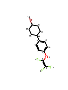 FC(F)=C(F)Oc1ccc(C2CCC(Br)CC2)cc1